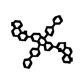 c1ccc(-c2ccc(-c3c4ccc(-c5ccc6ccc7ncccc7c6n5)cc4c(-c4ccc(-c5ccccc5)cc4)c4ccc(-c5ccc6ccc7ncccc7c6n5)cc34)cc2)cc1